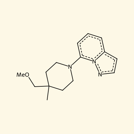 COCC1(C)CCN(c2cccc3ccnn23)CC1